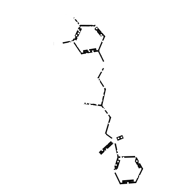 O=C(O)c1ccc(OCCC(S)CCS(=O)(=O)c2ccccc2)cc1O